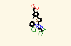 COC(=O)Cc1ccc(-c2ccc(-c3nc(C(F)(F)F)cn3-c3ccccc3Cl)s2)c(C)c1